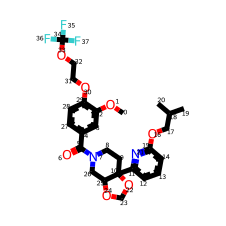 COc1cc(C(=O)N2CCC3(c4cccc(OCC(C)C)n4)OCOC3C2)ccc1OCCOC(F)(F)F